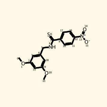 COc1cc(CNC(=S)c2ccc([N+](=O)[O-])cc2)cc(OC)c1